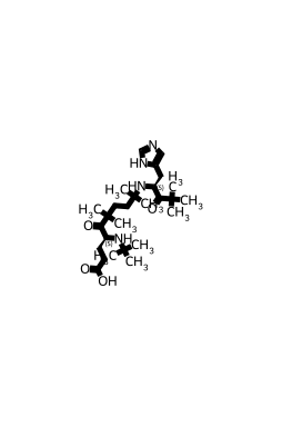 CC(C)(C)N[C@@H](CCC(=O)O)C(=O)C(C)(C)CCC(C)(C)N[C@@H](Cc1cnc[nH]1)C(=O)C(C)(C)C